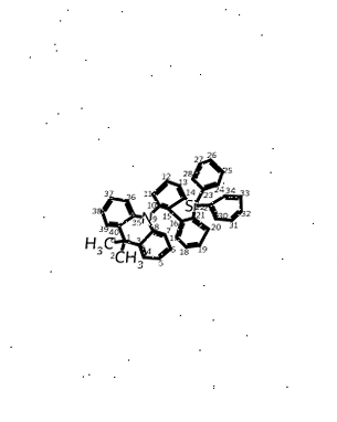 CC1(C)c2ccccc2N(c2cccc3c2-c2ccccc2[Si]3(c2ccccc2)c2ccccc2)c2ccccc21